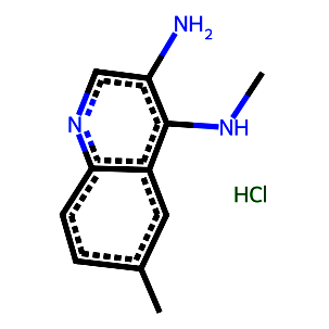 CNc1c(N)cnc2ccc(C)cc12.Cl